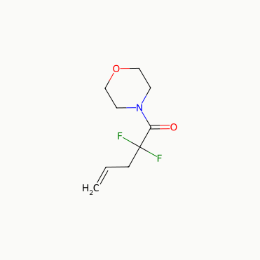 C=CCC(F)(F)C(=O)N1CCOCC1